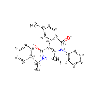 CC[C@H](NC(=O)c1c(C)n(-c2ccccc2)c(=O)c2ccc(C)cc12)c1ccccc1